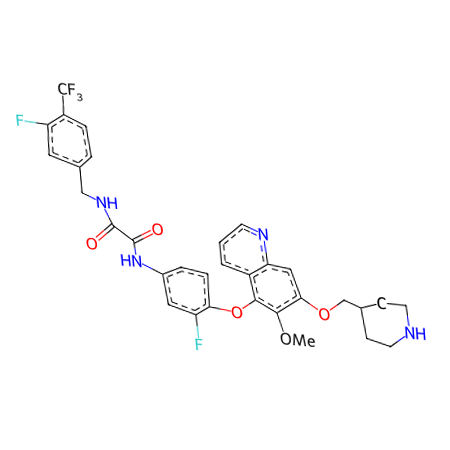 COc1c(OCC2CCNCC2)cc2ncccc2c1Oc1ccc(NC(=O)C(=O)NCc2ccc(C(F)(F)F)c(F)c2)cc1F